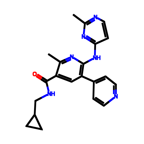 Cc1nccc(Nc2nc(C)c(C(=O)NCC3CC3)cc2-c2ccncc2)n1